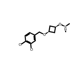 C[SiH](C)O[C@H]1C[C@@H](OCc2ccc(Cl)c(Cl)c2)C1